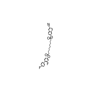 N#Cc1ccc2cc(OC(=O)CCCCCCCCCC(=O)Oc3ccc(-c4ccc(F)cc4)c(F)c3)ccc2c1